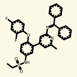 CCS(=O)(=O)Nc1ccc(Oc2ccc(F)cc2F)c(-c2cc(C)nc(N=C(c3ccccc3)c3ccccc3)c2)c1